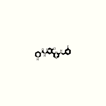 O=C(Nc1cc(-c2cncc(NCc3cccc(F)c3)n2)c(Cl)cn1)[C@H]1CCCNC1